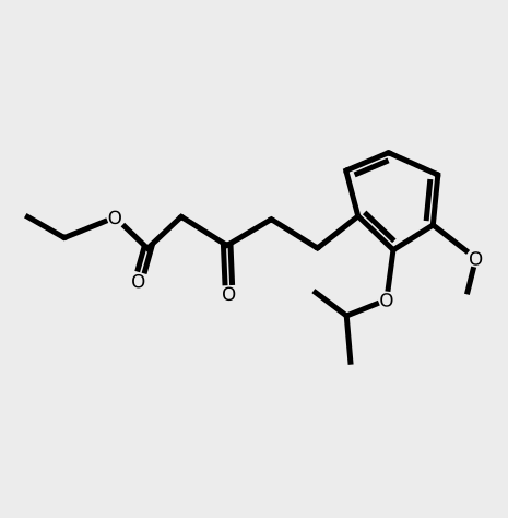 CCOC(=O)CC(=O)CCc1cccc(OC)c1OC(C)C